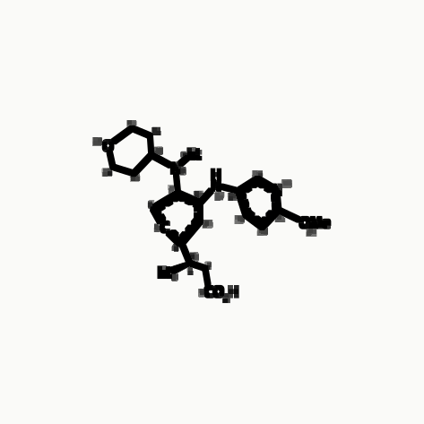 CC[C@H](CC(=O)O)c1ccc(N(CC)C2CCOCC2)c(Nc2ccc(OC)nc2)c1